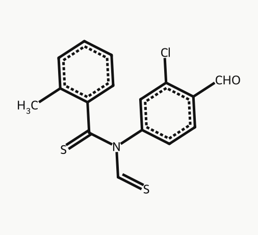 Cc1ccccc1C(=S)N(C=S)c1ccc(C=O)c(Cl)c1